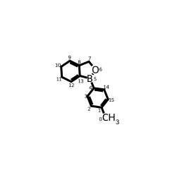 Cc1ccc(B2OCC3=CCCC=C23)cc1